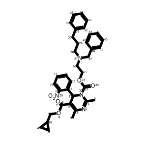 CC1=NC(C)=C(C(=O)OCC2CC2)C(c2ccccc2[N+](=O)[O-])N1C(=O)OCCN(CCCc1ccccc1)Cc1ccccc1